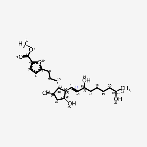 COC(=O)c1ccc(CCC[C@@H]2[C@@H](/C=C/[C@@H](O)CCCC[C@@H](C)O)[C@H](O)C[C@H]2Cl)s1